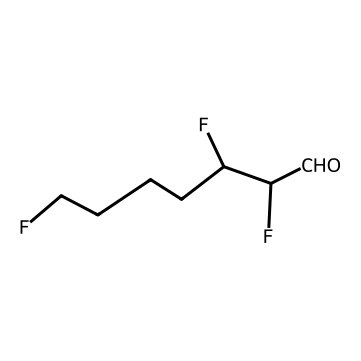 O=CC(F)C(F)CCCCF